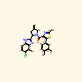 C=C1CC(c2nc3c(C)c(Cl)ccc3[nH]2)N(C(=O)c2nc(C)sc2-c2ccc(C)c(C)c2)C1